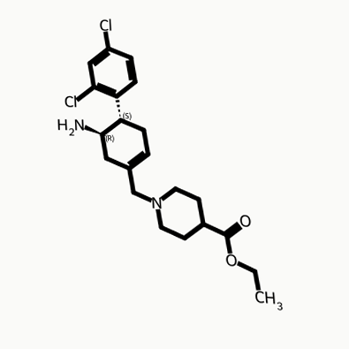 CCOC(=O)C1CCN(CC2=CC[C@@H](c3ccc(Cl)cc3Cl)[C@H](N)C2)CC1